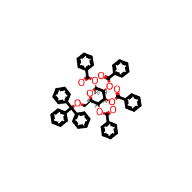 O=C(O[C@H]1O[C@H](COC(c2ccccc2)(c2ccccc2)c2ccccc2)[C@@H](OC(=O)c2ccccc2)[C@H](OC(=O)c2ccccc2)[C@@H]1OC(=O)c1ccccc1)c1ccccc1